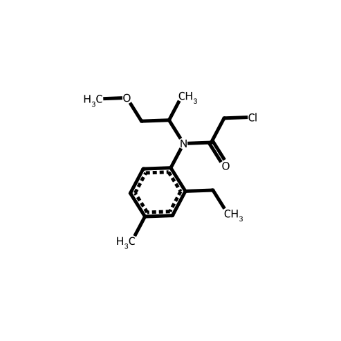 CCc1cc(C)ccc1N(C(=O)CCl)C(C)COC